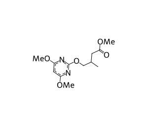 COC(=O)CC(C)COc1nc(OC)cc(OC)n1